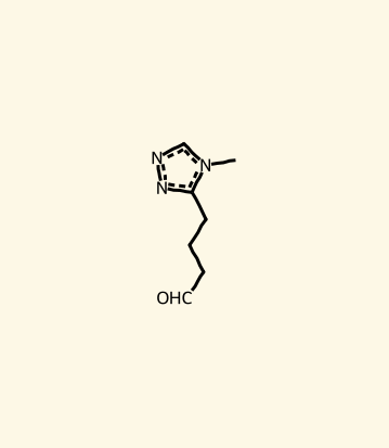 Cn1cnnc1CCCC=O